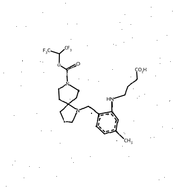 Cc1ccc(CN2CCCC23CCN(C(=O)OC(C(F)(F)F)C(F)(F)F)CC3)c(NCCCC(=O)O)c1